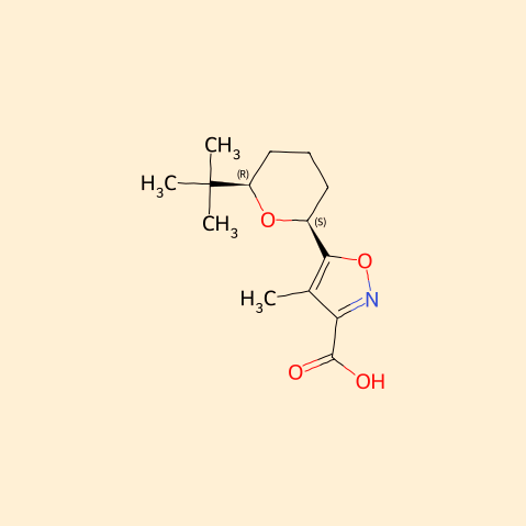 Cc1c(C(=O)O)noc1[C@@H]1CCC[C@H](C(C)(C)C)O1